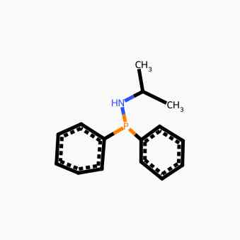 CC(C)NP(c1ccccc1)c1ccccc1